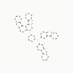 c1cc(-c2cc3sc4ccccc4c3c3c2ccc2sc4ccccc4c23)cc(N(c2ccc3c(c2)oc2ccccc23)c2ccc3oc4ccccc4c3c2)c1